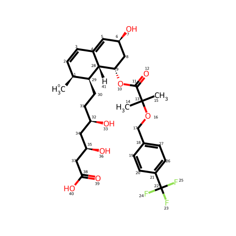 C[C@H]1C=CC2=C[C@@H](O)C[C@H](OC(=O)C(C)(C)OCc3ccc(C(F)(F)F)cc3)[C@@H]2[C@H]1CC[C@@H](O)C[C@@H](O)CC(=O)O